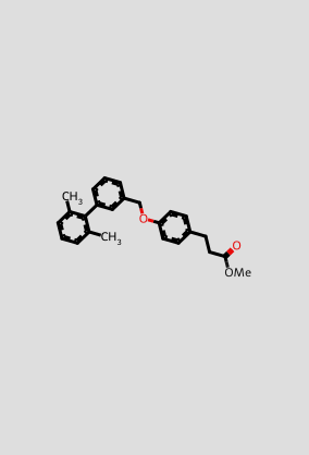 COC(=O)CCc1ccc(OCc2cccc(-c3c(C)cccc3C)c2)cc1